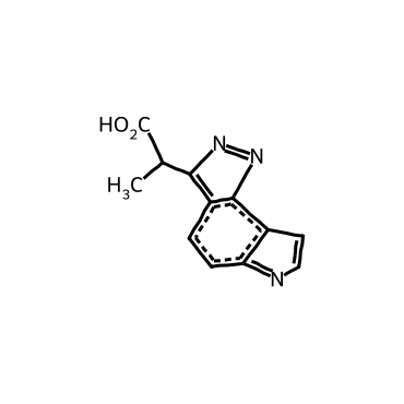 CC(C(=O)O)C1=c2ccc3c(c2N=N1)C=CN=3